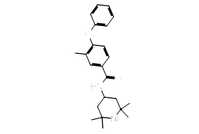 CC1(C)CC(NC(=O)c2ccc(Oc3ccccc3)c(Cl)c2)CC(C)(C)N1